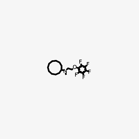 CN(CCOc1c(F)c(F)c(F)c(F)c1F)C1CCCCCCCCCC1